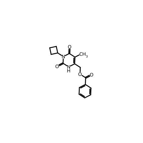 Cc1c(COC(=O)c2ccccc2)[nH]c(=O)n(C2CCC2)c1=O